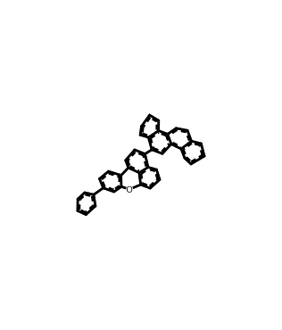 c1ccc(-c2ccc3c(c2)Oc2cccc4c(-c5cc6c7ccccc7ccc6c6ccccc56)ccc-3c24)cc1